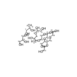 CC(O)CO.CC(O)COC(C)CO.OCC(O)CO.OCCO.OCCOCCO.OCCOCCOCCO